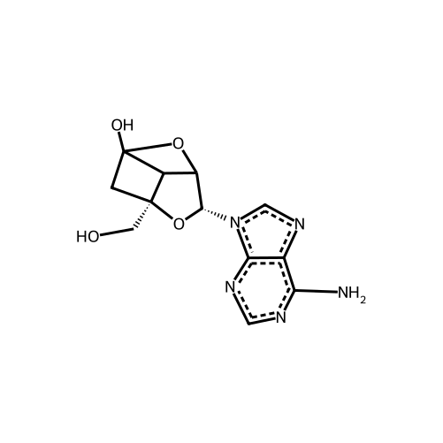 Nc1ncnc2c1ncn2[C@@H]1O[C@@]2(CO)CC3(O)OC1C32